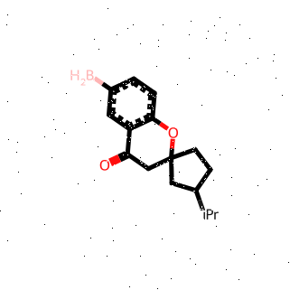 Bc1ccc2c(c1)C(=O)CC1(CCC(C(C)C)C1)O2